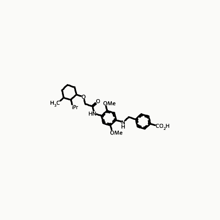 COc1cc(NC(=O)COC2CCCC(C)C2C(C)C)c(OC)cc1NCc1ccc(C(=O)O)cc1